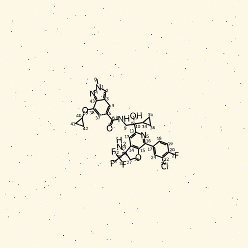 Cn1cc2cc(C(=O)NC[C@](O)(c3cc4c(c(-c5ccc(F)c(Cl)c5)n3)OC[C@@]4(N)C(F)(F)F)C3CC3)cc(OC3CC3)c2n1